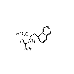 CCCC(=O)N[C@@H](Cc1cccc2ccccc12)C(=O)O